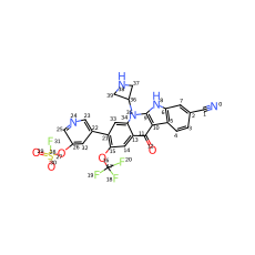 N#Cc1ccc2c(c1)[nH]c1c2c(=O)c2cc(OC(F)(F)F)c(-c3cncc(OS(=O)(=O)F)c3)cc2n1C1CNC1